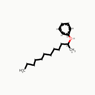 CCCCCCCCCCC(C)Oc1ccccc1